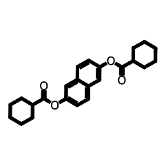 O=C(Oc1ccc2cc(OC(=O)C3CCCCC3)ccc2c1)C1CCCCC1